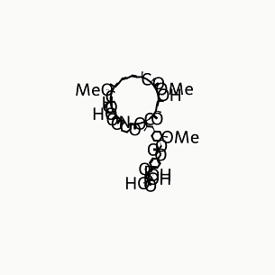 CO[C@H]1C[C@@H]2CC[C@@H](C)[C@@](O)(O2)C(=O)C(=O)N2CCCCC2C(=O)O[C@H]([C@H](C)C[C@@H]2CC[C@@H](OC(=O)Oc3ccc(P(=O)(O)CP(=O)(O)O)cc3)[C@H](OC)C2)CC(=O)[C@H](C)/C=C(\C)[C@@H](O)[C@@H](OC)C(=O)[C@H](C)C[C@H](C)/C=C/C=C/C=C/1C